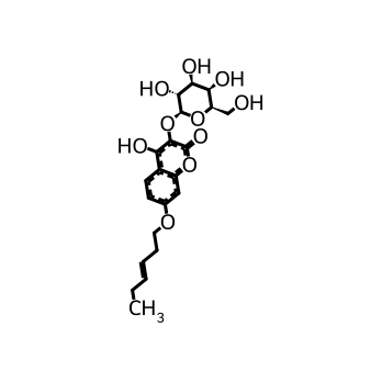 CC/C=C/CCOc1ccc2c(O)c(O[C@@H]3O[C@H](CO)[C@H](O)[C@H](O)[C@H]3O)c(=O)oc2c1